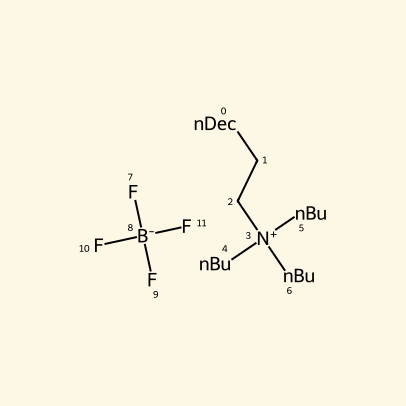 CCCCCCCCCCCC[N+](CCCC)(CCCC)CCCC.F[B-](F)(F)F